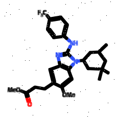 COC(=O)CCc1cc2nc(Nc3ccc(C(F)(F)F)cc3)n(C3CC(C)CC(C)(C)C3)c2cc1OC